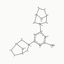 Oc1nc(N2CC3CCC(C2)O3)cc(N2CC3CCC(C2)O3)n1